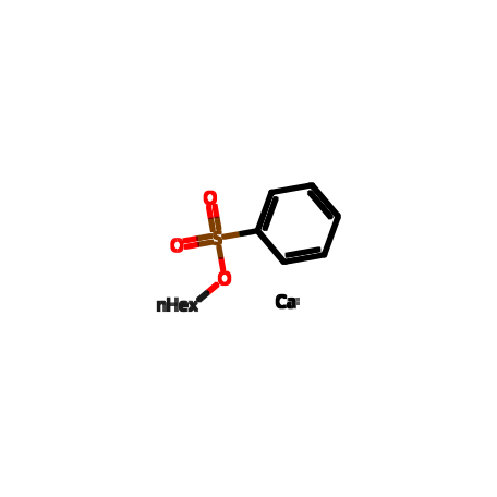 CCCCCCOS(=O)(=O)c1ccccc1.[Ca]